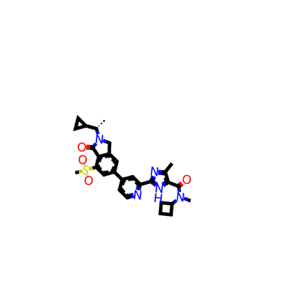 Cc1nc(-c2cc(-c3cc4c(c(S(C)(=O)=O)c3)C(=O)N([C@@H](C)C3CC3)C4)ccn2)[nH]c1C(=O)N(C)C1CCC1